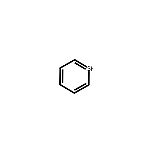 C1=CC=[Si]C=C1